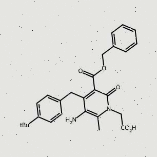 Cc1c(N)c(Cc2ccc(C(C)(C)C)cc2)c(C(=O)OCc2ccccc2)c(=O)n1CC(=O)O